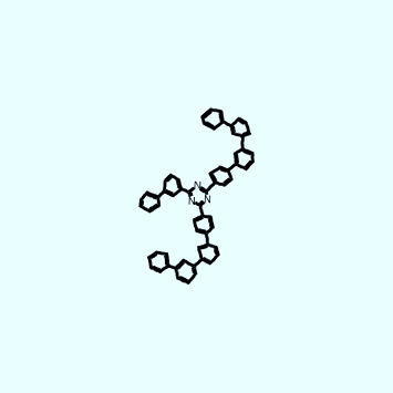 c1ccc(-c2cccc(-c3cccc(-c4ccc(-c5nc(-c6ccc(-c7cccc(-c8cccc(-c9ccccc9)c8)c7)cc6)nc(-c6cccc(-c7ccccc7)c6)n5)cc4)c3)c2)cc1